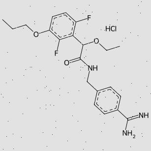 CCCOc1ccc(F)c(C(OCC)C(=O)NCc2ccc(C(=N)N)cc2)c1F.Cl